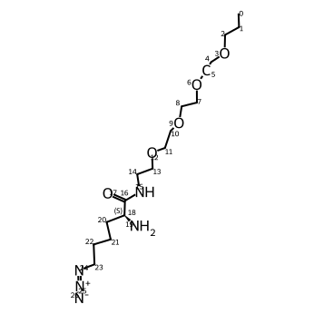 CCCOCCOCCOCCOCCNC(=O)[C@@H](N)CCCCN=[N+]=[N-]